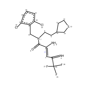 N=C(/C=C(\N)C(=O)N(CCC1CCSC1)Cc1c(Cl)cccc1Cl)C(F)(F)F